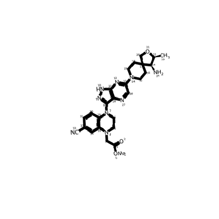 COC(=O)CN1CCN(c2n[nH]c3nc(N4CCC5(CC4)CO[C@@H](C)[C@H]5N)cnc23)c2ccc(C#N)cc21